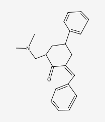 CN(C)CC1CC(c2ccccc2)CC(=Cc2ccccc2)C1=O